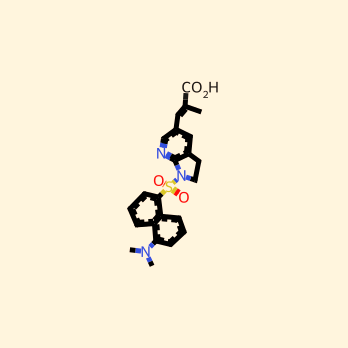 CC(=Cc1cnc2c(c1)CCN2S(=O)(=O)c1cccc2c(N(C)C)cccc12)C(=O)O